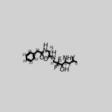 CC(C)CC(N)C(O)C(F)(F)CNC(=O)[C@@H](C)NC(=O)Cc1ccccc1